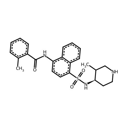 Cc1ccccc1C(=O)Nc1ccc(S(=O)(=O)N[C@@H]2CCNCC2C)c2ccccc12